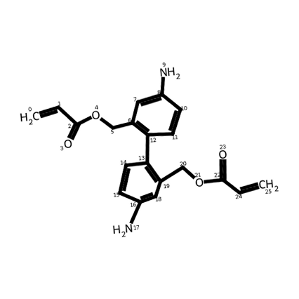 C=CC(=O)OCc1cc(N)ccc1-c1ccc(N)cc1COC(=O)C=C